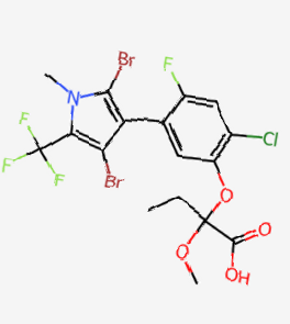 CCC(OC)(Oc1cc(-c2c(Br)c(C(F)(F)F)n(C)c2Br)c(F)cc1Cl)C(=O)O